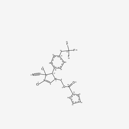 N#CC1(Cl)C(Cl)=CN(COC(=O)c2ccco2)C1c1ccc(CC(F)(F)F)cc1